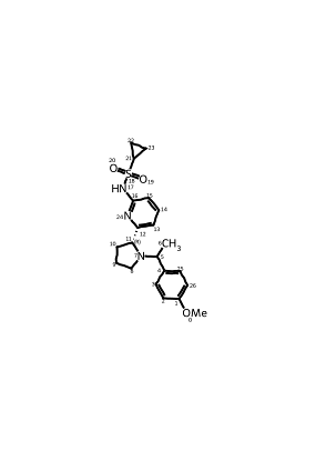 COc1ccc(C(C)N2CCC[C@@H]2c2cccc(NS(=O)(=O)C3CC3)n2)cc1